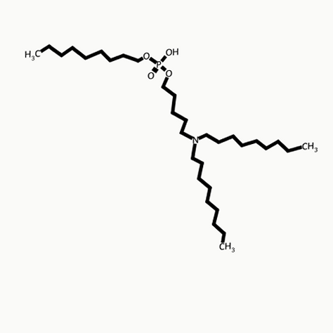 CCCCCCCCCOP(=O)(O)OCCCCCN(CCCCCCCCC)CCCCCCCCC